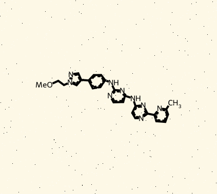 COCCn1cc(-c2ccc(Nc3nccc(Nc4ccnc(-c5cccc(C)n5)n4)n3)cc2)cn1